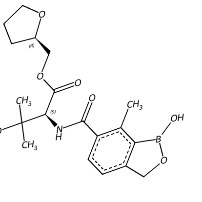 Cc1c(C(=O)N[C@H](C(=O)OC[C@H]2CCCO2)C(C)(C)O)ccc2c1B(O)OC2